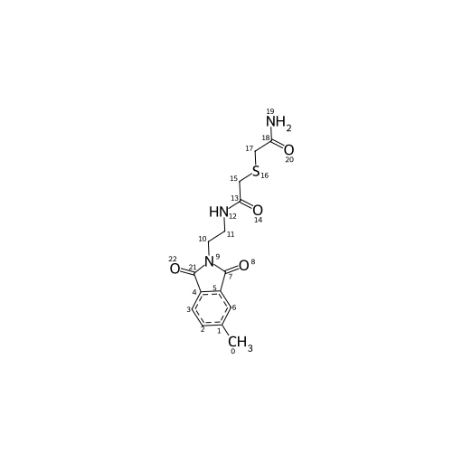 Cc1ccc2c(c1)C(=O)N(CCNC(=O)CSCC(N)=O)C2=O